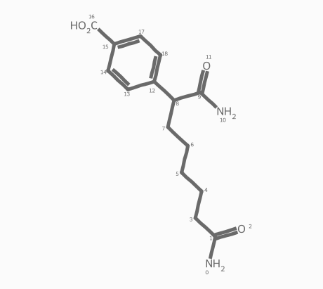 NC(=O)CCCCCC(C(N)=O)c1ccc(C(=O)O)cc1